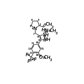 CCC1CCCN1CC1=C(c2ccc(C(F)(F)F)c(OC)c2)N[SH]1NC